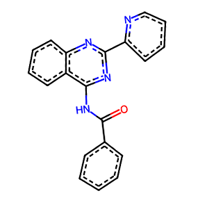 O=C(Nc1nc(-c2ccccn2)nc2ccccc12)c1ccccc1